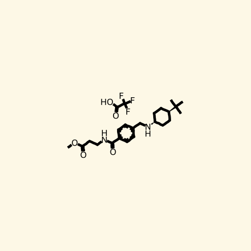 COC(=O)CCNC(=O)c1ccc(CN[C@H]2CC[C@H](C(C)(C)C)CC2)cc1.O=C(O)C(F)(F)F